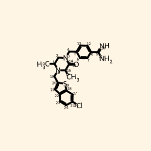 CC1CN(Cc2ccc(C(=N)N)cc2)C(=O)C(C)N1Cc1cc2ccc(Cl)cc2s1